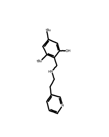 CC(C)(C)c1cc(O)c(CNCCc2cccnc2)c(C(C)(C)C)c1